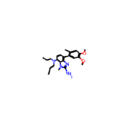 CCCN(CCC)c1ccc(-c2cc(OC)c(OC)cc2C)c2nc(N)n(C)c12